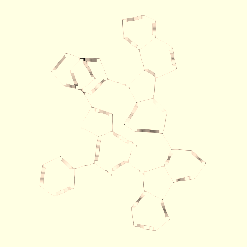 c1ccc(-c2cc3nc(-n4c5ccccc5c5cccc(-c6ccc7c(c6)c6ccc8ccccc8c6n7-c6ccccc6)c54)nc(-c4ccccc4)c3s2)cc1